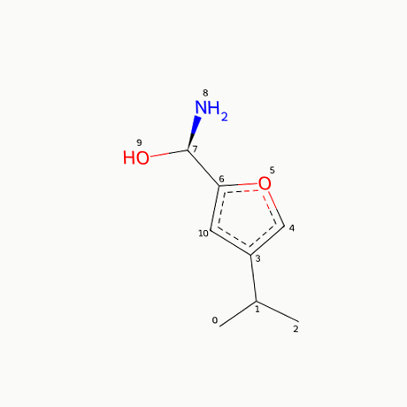 CC(C)c1coc([C@H](N)O)c1